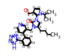 CCCCc1cn(-c2c(C=O)ccn2C(C)C)c(=O)n1Cc1cnccc1-c1ccccc1-c1nnn[nH]1